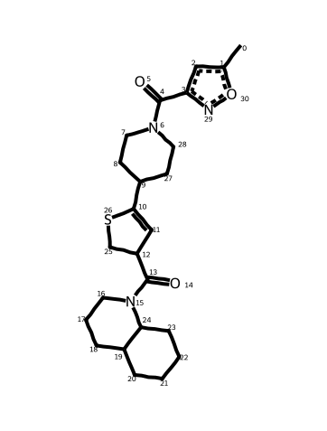 Cc1cc(C(=O)N2CCC(C3=CC(C(=O)N4CCCC5CCCCC54)CS3)CC2)no1